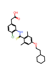 Cc1cc(OCCC2CCCCC2)cc(C)c1C(=S)Nc1cc(CC(=O)O)ccc1Cl